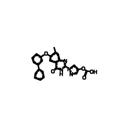 Cc1cc2nc(-n3cc(OC(=O)O)cn3)[nH]c(=O)c2cc1Oc1cccc(-c2ccccc2)c1